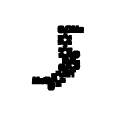 COC(=O)c1ccc(-c2ccc3nc4c(C(=O)N[C@H]5CC[C@@H](C(=O)OC)CC5)cccn4c(=O)c3c2)cc1